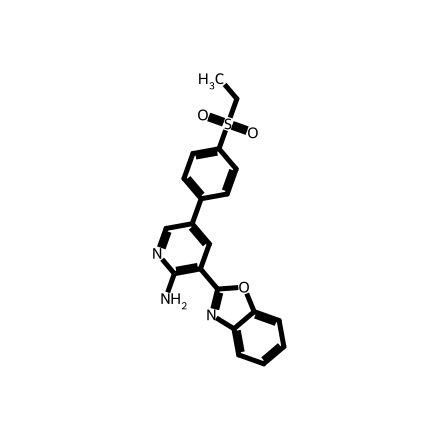 CCS(=O)(=O)c1ccc(-c2cnc(N)c(-c3nc4ccccc4o3)c2)cc1